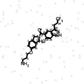 NCCCOc1ccc2c(c1)CN(C(=O)c1cc3c(CCC(F)(F)F)n[nH]c3cc1O)C2